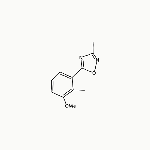 COc1cccc(-c2nc(C)no2)c1C